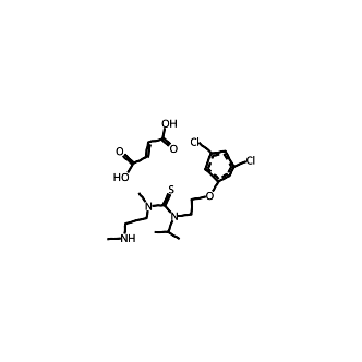 CNCCN(C)C(=S)N(CCOc1cc(Cl)cc(Cl)c1)C(C)C.O=C(O)C=CC(=O)O